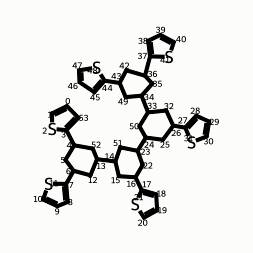 c1csc(C2CC(c3cccs3)CC(C3CC(c4cccs4)CC(C4CC(c5cccs5)CC(C5CC(c6cccs6)CC(c6cccs6)C5)C4)C3)C2)c1